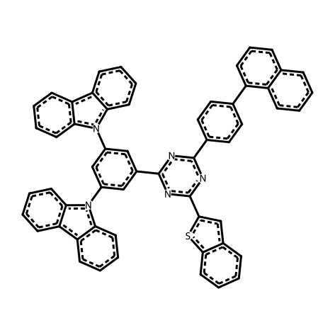 c1ccc2sc(-c3nc(-c4ccc(-c5cccc6ccccc56)cc4)nc(-c4cc(-n5c6ccccc6c6ccccc65)cc(-n5c6ccccc6c6ccccc65)c4)n3)cc2c1